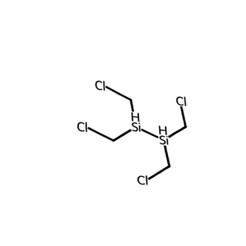 ClC[SiH](CCl)[SiH](CCl)CCl